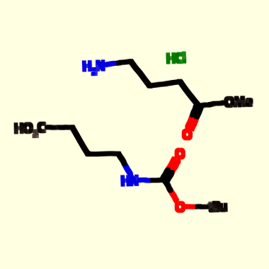 CC(C)(C)OC(=O)NCCCC(=O)O.COC(=O)CCCN.Cl